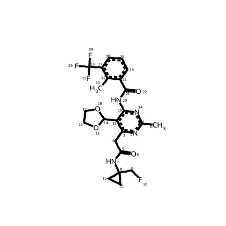 Cc1nc(CC(=O)NC2(CF)CC2)c(C2OCCO2)c(NC(=O)c2cccc(C(F)(F)F)c2C)n1